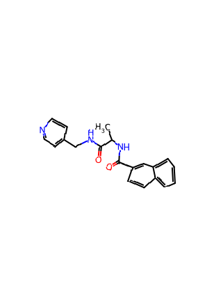 CC(NC(=O)c1ccc2ccccc2c1)C(=O)NCc1ccncc1